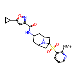 CNc1ncccc1S(=O)(=O)C12CC3CC(NC(=O)c4cc(C5CC5)on4)CC(C1)N32